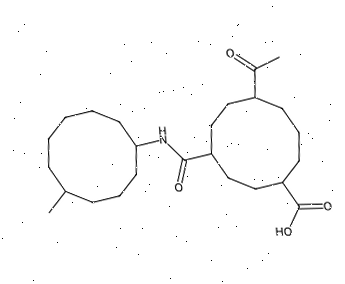 CC(=O)C1CCCC(C(=O)O)CCC(C(=O)NC2CCCCCC(C)CCC2)CC1